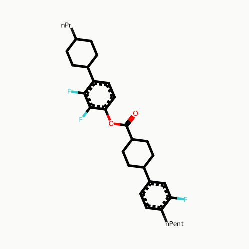 CCCCCc1ccc(C2CCC(C(=O)Oc3ccc(C4CCC(CCC)CC4)c(F)c3F)CC2)cc1F